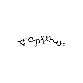 CC1CN(Cc2ccc(N3CC(C(=O)Nc4nnc(CCc5ccc(Cl)cc5)s4)CC3=O)cc2)C[C@H](C)O1